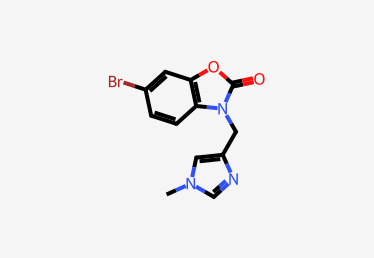 Cn1cnc(Cn2c(=O)oc3cc(Br)ccc32)c1